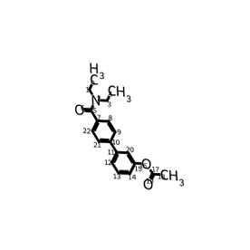 CCN(CC)C(=O)c1ccc(-c2cccc(OC(C)=O)c2)cc1